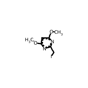 COc1cc(OC)nc(CI)n1